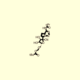 CCCC(=O)Nc1ncnn2c([C@]3(C#N)O[C@H](COCOC(=O)C(C)(C)C)[C@@H](O)[C@H]3O)ccc12